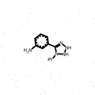 CC(C)N1NNN=C1c1cccc(N)c1